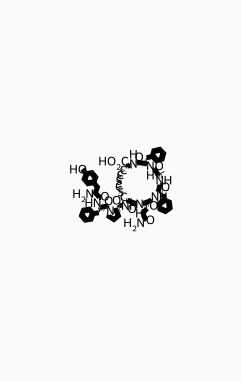 C[C@@H]1NC(=O)[C@H](Cc2ccccc2)NC(=O)[C@H](CCC(N)=O)NC(=O)[C@H](NC(=O)[C@@H]2CCCN2C(=O)[C@H](Cc2ccccc2)NC(=O)[C@H](N)Cc2ccc(O)cc2)CSCSCC[C@@H](C(=O)O)NC(=O)[C@H](Cc2ccccc2)NC1=O